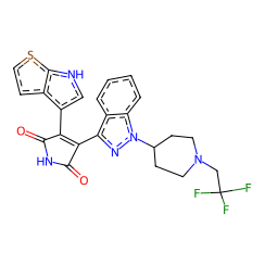 O=C1NC(=O)C(c2nn(C3CCN(CC(F)(F)F)CC3)c3ccccc23)=C1c1c[nH]c2sccc12